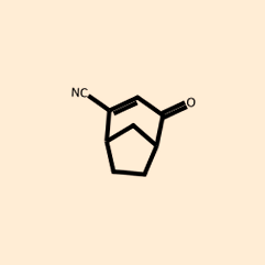 N#CC1=CC(=O)C2CCC1C2